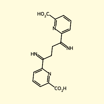 N=C(CCC(=N)c1cccc(C(=O)O)n1)c1cccc(C(=O)O)n1